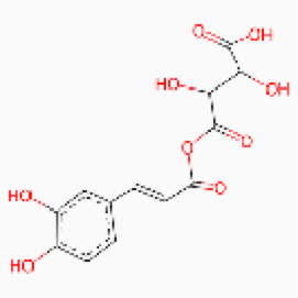 O=C(/C=C/c1ccc(O)c(O)c1)OC(=O)C(O)C(O)C(=O)O